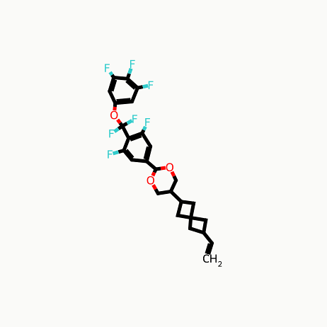 C=CC1CC2(C1)CC(C1COC(c3cc(F)c(C(F)(F)Oc4cc(F)c(F)c(F)c4)c(F)c3)OC1)C2